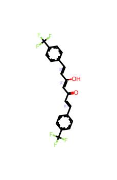 O=C(/C=C(O)/C=C/c1ccc(C(F)(F)F)cc1)/C=C/c1ccc(C(F)(F)F)cc1